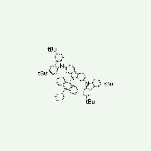 CC(C)(C)c1ccc2c(c1)c1cc(C(C)(C)C)ccc1n2-c1ccc2c3ccc(-n4c5ccc(C(C)(C)C)cc5c5cc(C(C)(C)C)ccc54)cc3n(-c3c4ccccc4c(-c4ccccc4)c4ccccc34)c2c1